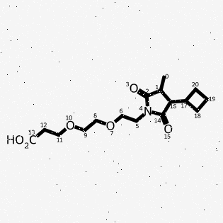 CC1C(=O)N(CCOCCOCCC(=O)O)C(=O)C1C1CCC1